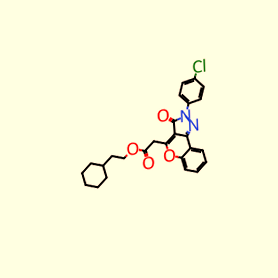 O=C(Cc1oc2ccccc2c2nn(-c3ccc(Cl)cc3)c(=O)c1-2)OCCC1CCCCC1